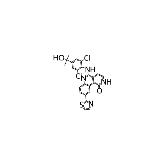 CC(C)(O)c1cc(Cl)c(Nc2nc3ccc(-c4nccs4)cc3c3c(=O)[nH]ccc23)c(Cl)c1